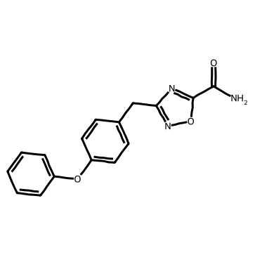 NC(=O)c1nc(Cc2ccc(Oc3ccccc3)cc2)no1